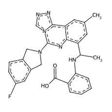 Cc1cc(C(C)Nc2ccccc2C(=O)O)c2nc(N3Cc4ccc(F)cc4C3)n3cnnc3c2c1